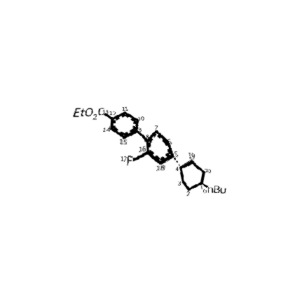 CCCC[C@H]1CC[C@H](c2ccc(-c3ccc(C(=O)OCC)cc3)c(F)c2)CC1